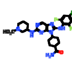 NC(=O)C1CCC(n2c(Nc3c(F)cc(Cl)cc3F)nc3cnc(NC4CCCN(C(=O)O)C4)nc32)CC1